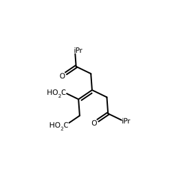 CC(C)C(=O)CC(CC(=O)C(C)C)=C(CC(=O)O)C(=O)O